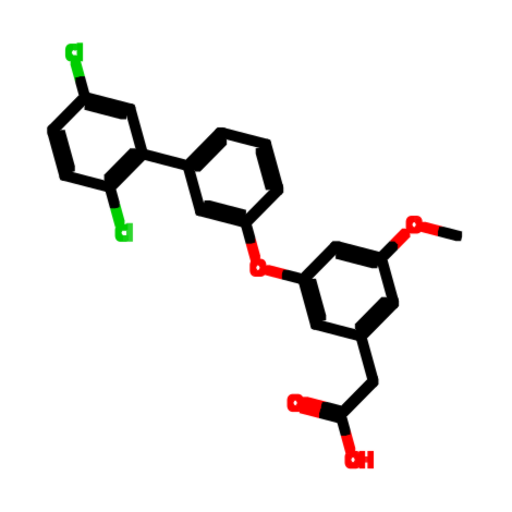 COc1cc(CC(=O)O)cc(Oc2cccc(-c3cc(Cl)ccc3Cl)c2)c1